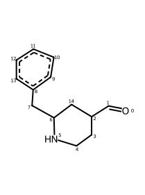 O=CC1CCNC(Cc2ccccc2)C1